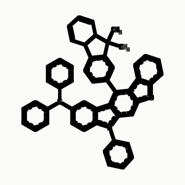 CC1(C)c2cc(-c3c4c(cc5c3c3cc(N(c6ccccc6)c6ccccc6)ccc3n5-c3ccccc3)oc3ccccc34)ccc2C2C=CC=CC21